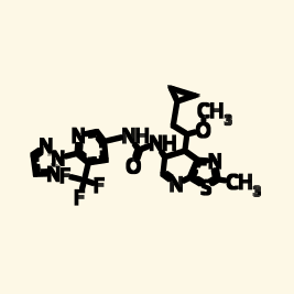 COC(CC1CC1)C1c2nc(C)sc2N=CC1NC(=O)Nc1cnc(-n2nccn2)c(C(F)(F)F)c1